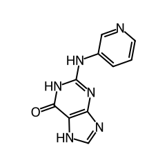 O=c1[nH]c(Nc2cccnc2)nc2nc[nH]c12